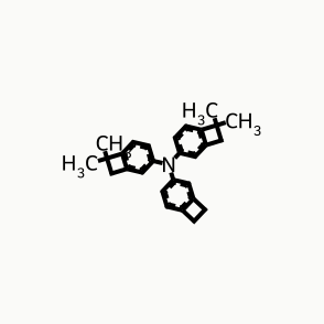 CC1(C)Cc2cc(N(c3ccc4c(c3)CC4)c3ccc4c(c3)CC4(C)C)ccc21